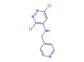 Clc1cc(NCc2ccncc2)c(Cl)nn1